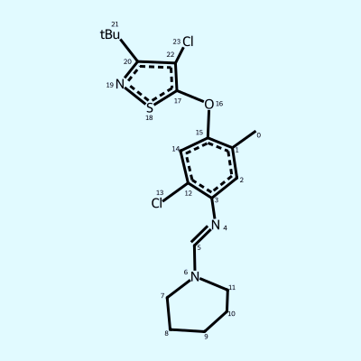 Cc1cc(/N=C/N2CCCCC2)c(Cl)cc1Oc1snc(C(C)(C)C)c1Cl